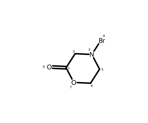 O=C1CN(Br)CCO1